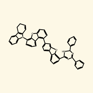 C1=Cc2c(c3ccccc3n2-c2cccc3c2oc2cccc(-c4ccc5c(c4)oc4c(C6=NC(c7ccccc7)=NC(c7ccccc7)N6)cccc45)c23)CC1